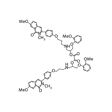 COc1ccc2cc(-c3ccc(OCCCNCC(COc4ccccc4OC)OC(=O)C(=O)OC(CNCCCOc4ccc(-c5cc6ccc(OC)cc6c(=O)n5C)cc4)COc4ccccc4OC)cc3)n(C)c(=O)c2c1